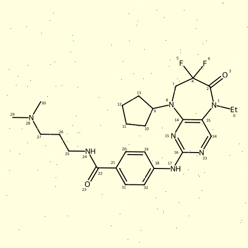 CCN1C(=O)C(F)(F)CN(C2CCCC2)c2nc(Nc3ccc(C(=O)NCCCN(C)C)cc3)ncc21